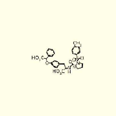 Cc1ccc(S(=O)(=O)N2CCC[C@H]2C(=O)N[C@@H](Cc2ccc(OC(C(=O)O)c3ccccc3)cc2)C(=O)O)cc1